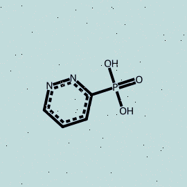 O=P(O)(O)c1cccnn1